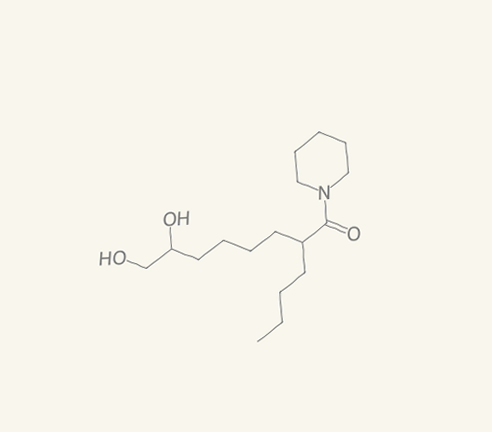 CCCCC(CCCCC(O)CO)C(=O)N1CCCCC1